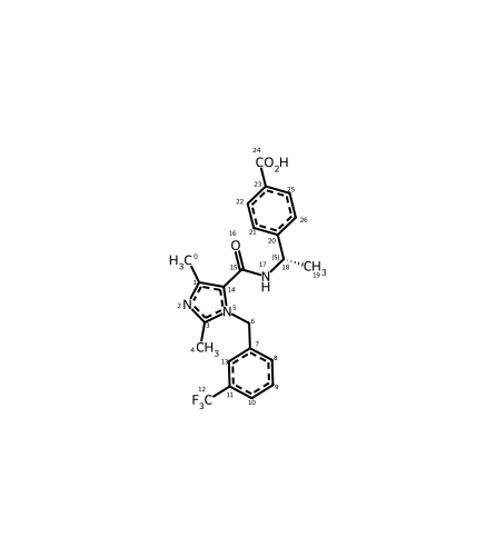 Cc1nc(C)n(Cc2cccc(C(F)(F)F)c2)c1C(=O)N[C@@H](C)c1ccc(C(=O)O)cc1